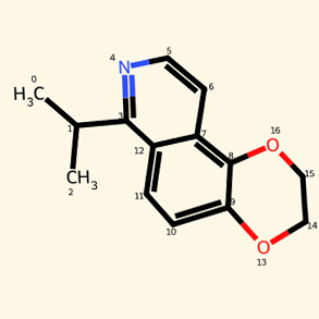 CC(C)c1nccc2c3c(ccc12)OCCO3